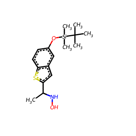 CC(NO)c1cc2cc(O[Si](C)(C)C(C)(C)C)ccc2s1